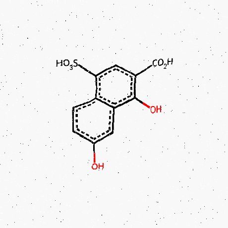 O=C(O)c1cc(S(=O)(=O)O)c2ccc(O)cc2c1O